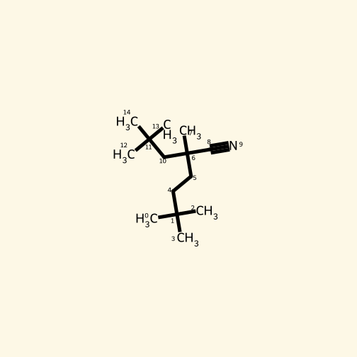 CC(C)(C)CCC(C)(C#N)CC(C)(C)C